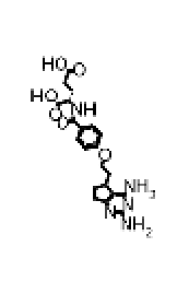 Nc1nc(N)c2c(n1)CCC2CCOc1ccc(C(=O)N[C@@H](CCC(=O)O)C(=O)O)cc1